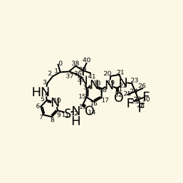 CC1CCNc2cccc(n2)SNC(=O)c2ccc(N3CCN(CC(C)(C)C(F)(F)F)C3=O)nc2N2CC1CC2(C)C